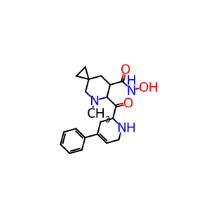 CN1CC2(CC2)CC(C(=O)NO)C1C(=O)C1CC(c2ccccc2)=CCN1